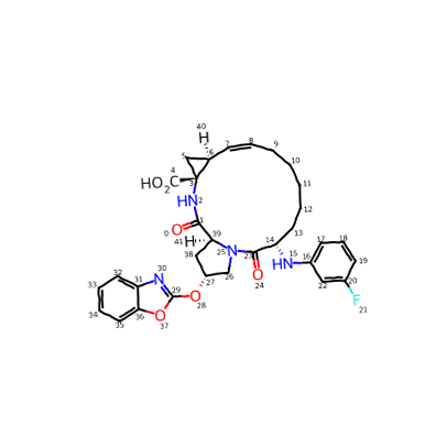 O=C1N[C@]2(C(=O)O)C[C@H]2/C=C\CCCCC[C@H](Nc2cccc(F)c2)C(=O)N2C[C@H](Oc3nc4ccccc4o3)C[C@@H]12